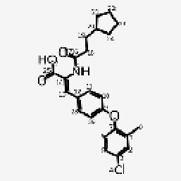 Cc1cc(Cl)ccc1Oc1ccc(C=C(NC(=O)CCC2CCCC2)C(=O)O)cc1